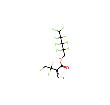 C=C(C(=O)OCC(F)(F)C(F)(F)C(F)(F)C(F)F)C(F)(F)CF